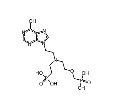 O=P(O)(O)CCN(CCOCP(=O)(O)O)CCn1cnc2c(O)ncnc21